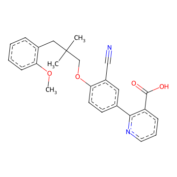 COc1ccccc1CC(C)(C)COc1ccc(-c2ncccc2C(=O)O)cc1C#N